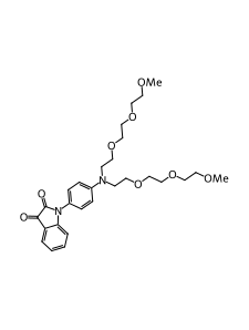 COCCOCCOCCN(CCOCCOCCOC)c1ccc(N2C(=O)C(=O)c3ccccc32)cc1